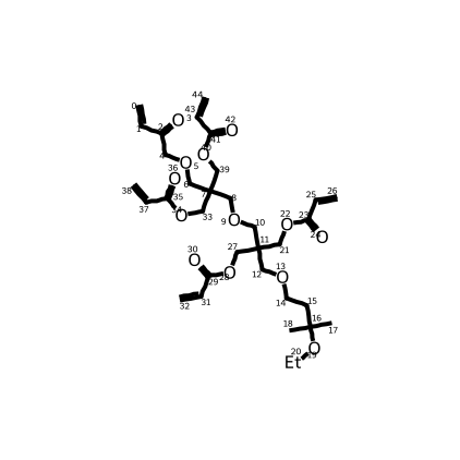 C=CC(=O)COCC(COCC(COCCC(C)(C)OCC)(COC(=O)C=C)COC(=O)C=C)(COC(=O)C=C)COC(=O)C=C